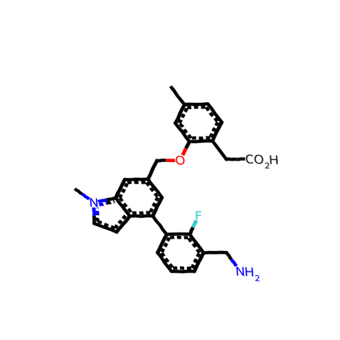 Cc1ccc(CC(=O)O)c(OCc2cc(-c3cccc(CN)c3F)c3ccn(C)c3c2)c1